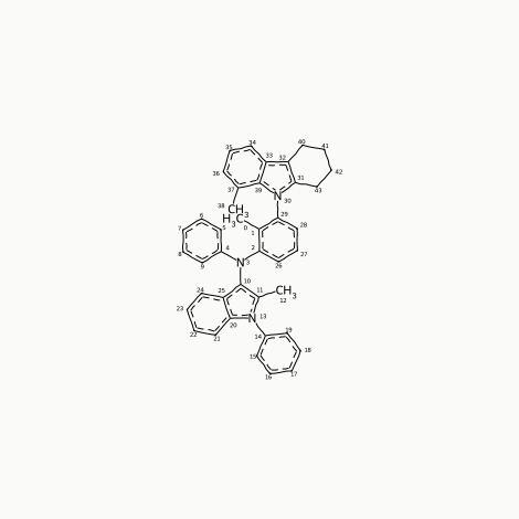 Cc1c(N(c2ccccc2)c2c(C)n(-c3ccccc3)c3ccccc23)cccc1-n1c2c(c3cccc(C)c31)CCCC2